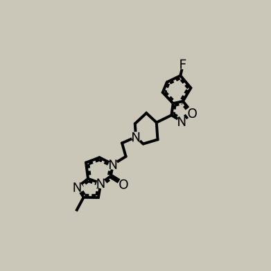 Cc1cn2c(=O)n(CCN3CCC(c4noc5cc(F)ccc45)CC3)ccc2n1